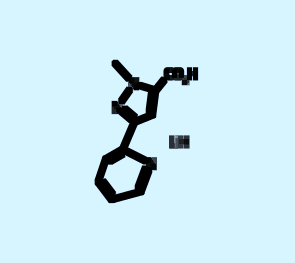 Cn1nc(-c2ccccn2)cc1C(=O)O.[LiH]